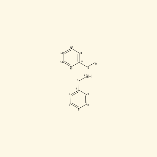 CC(BCc1ccccc1)c1ccccc1